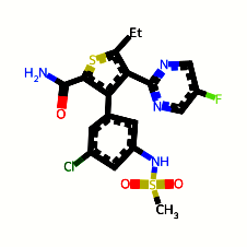 CCc1sc(C(N)=O)c(-c2cc(Cl)cc(NS(C)(=O)=O)c2)c1-c1ncc(F)cn1